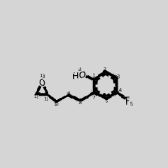 Oc1ccc(F)cc1CCCC1CO1